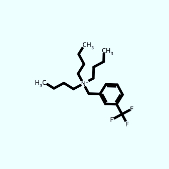 CCCC[N+](CCCC)(CCCC)Cc1cccc(C(F)(F)F)c1